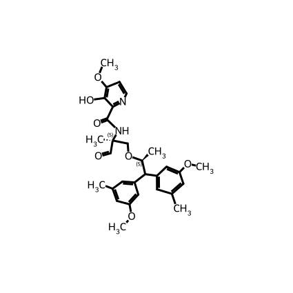 COc1cc(C)cc(C(c2cc(C)cc(OC)c2)[C@H](C)OC[C@@](C)(C=O)NC(=O)c2nccc(OC)c2O)c1